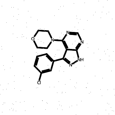 Clc1cccc(-c2n[nH]c3ncnc(N4CCOCC4)c23)c1